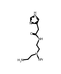 CCCN(CCN)CCNC(=O)Cc1c[nH]cn1